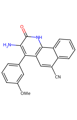 COc1cccc(-c2c(N)c(=O)[nH]c3c2cc(C#N)c2ccccc23)c1